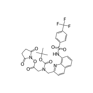 CC(C)(C)OC(=O)N(CC(=O)ON1C(=O)CCC1=O)Cc1ccc2cccc(NS(=O)(=O)c3ccc(C(F)(F)F)cc3)c2n1